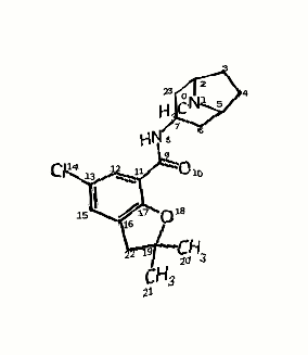 CN1C2CCC1CC(NC(=O)c1cc(Cl)cc3c1OC(C)(C)C3)C2